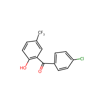 O=C(c1ccc(Cl)cc1)c1cc(C(F)(F)F)ccc1O